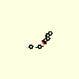 C[C@]12C=CC(=O)C=C1[C@@H](F)C[C@H]1[C@@H]3C[C@H]4CN(Cc5ccc(CSc6ccc(O)cc6)cc5)C[C@@]4(C(=O)CF)[C@@]3(C)C[C@H](O)[C@@]12F